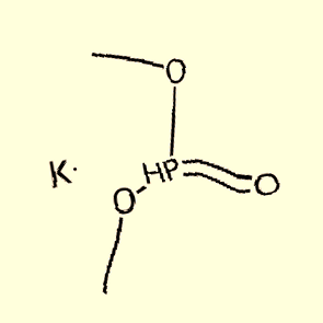 CO[PH](=O)OC.[K]